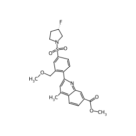 COCc1cc(S(=O)(=O)N2CC[C@H](F)C2)ccc1-c1cc(C)c2ccc(C(=O)OC)cc2n1